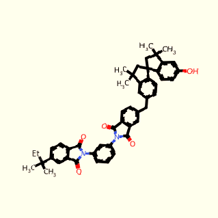 CCC(C)(C)c1ccc2c(c1)C(=O)N(c1cccc(N3C(=O)c4ccc(Cc5ccc6c(c5)C(C)(C)CC65CC(C)(C)c6cc(O)ccc65)cc4C3=O)c1)C2=O